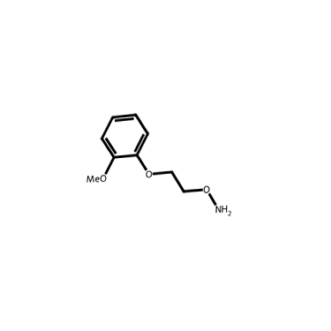 COc1ccccc1OCCON